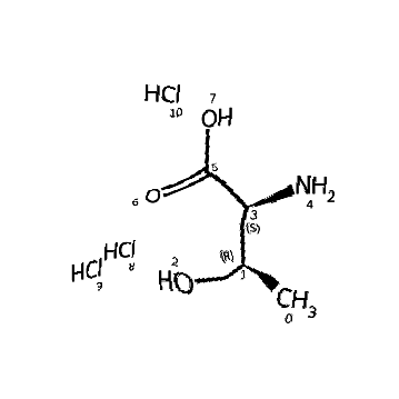 C[C@@H](O)[C@H](N)C(=O)O.Cl.Cl.Cl